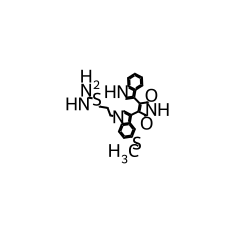 CSc1ccc2c(c1)c(C1=C(c3c[nH]c4ccccc34)C(=O)NC1=O)cn2CCCSC(=N)N